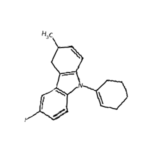 CC1C=Cc2c(c3cc(I)ccc3n2C2=CCCCC2)C1